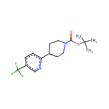 CC(C)(C)OC(=O)N1CCC(c2ccc(C(F)(F)F)cn2)CC1